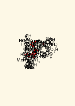 CN[C@H](CC(C)C)C(=O)N[C@H]1C(=O)N[C@@H](CC(N)=O)C(=O)N[C@H]2C(=O)N[C@H]3C(=O)N[C@H](C(=O)N[C@H](C(=O)O)c4cc(O)cc(O)c4-c4cc3ccc4O)[C@H](O[C@H]3C[C@](C)(N)[C@@H](O)[C@H](C)O3)c3ccc(c(Cl)c3)Oc3cc2cc(c3O[C@@H]2O[C@H](CO)[C@@H](O)[C@H](O)[C@H]2O[C@H]2C[C@](C)(N(CCC(=O)c3ccc(OCCCC(P(=O)(O)O)P(=O)(O)O)cc3)Cc3ccc(-c4ccc(Cl)cc4)cc3)[C@@H](O)[C@H](C)O2)Oc2ccc(cc2Cl)[C@H]1O